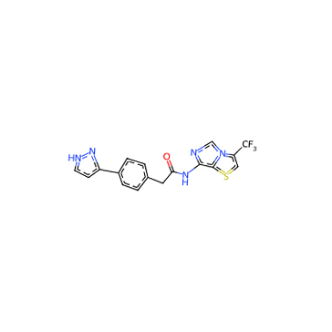 O=C(Cc1ccc(-c2cc[nH]n2)cc1)Nc1ncn2c(C(F)(F)F)csc12